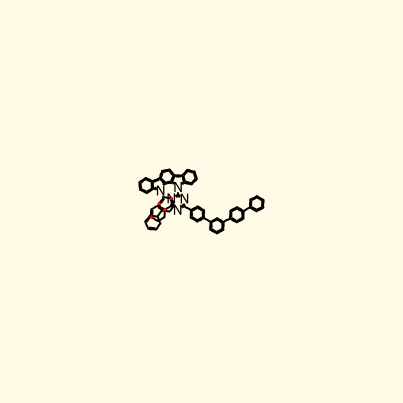 C1=CCCC(c2nc(-c3ccc(-c4cccc(-c5ccc(-c6ccccc6)cc5)c4)cc3)nc(-n3c4ccccc4c4ccc5c6ccccc6n(C6=CC(C7C=CC=CC7)CC=C6)c5c43)n2)=C1